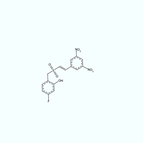 O=[N+]([O-])c1cc(C=CS(=O)(=O)Cc2ccc(F)cc2O)cc([N+](=O)[O-])c1